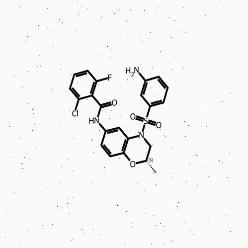 C[C@H]1CN(S(=O)(=O)c2cccc(N)c2)c2cc(NC(=O)c3c(F)cccc3Cl)ccc2O1